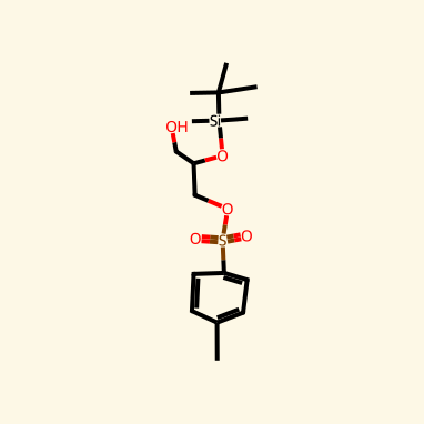 Cc1ccc(S(=O)(=O)OCC(CO)O[Si](C)(C)C(C)(C)C)cc1